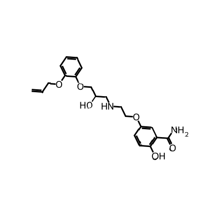 C=CCOc1ccccc1OCC(O)CNCCOc1ccc(O)c(C(N)=O)c1